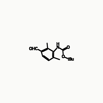 Cc1ccc(C=O)c(C)c1NC(=O)OC(C)(C)C